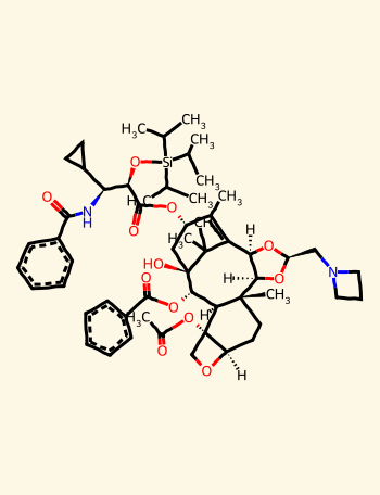 CC(=O)O[C@@]12CO[C@@H]1CC[C@@]1(C)[C@@H]3O[C@H](CN4CCC4)O[C@@H]3C3=C(C)[C@@H](OC(=O)[C@H](O[Si](C(C)C)(C(C)C)C(C)C)[C@@H](NC(=O)c4ccccc4)C4CC4)C[C@@](O)([C@@H](OC(=O)c4ccccc4)[C@@H]12)C3(C)C